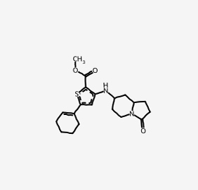 COC(=O)c1sc(C2=CCCCC2)cc1NC1CCN2C(=O)CCC2C1